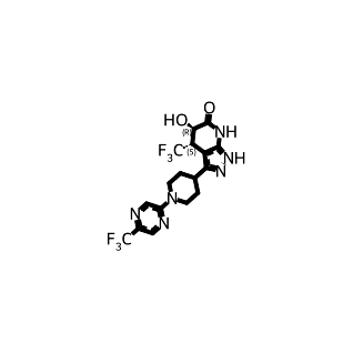 O=C1Nc2[nH]nc(C3CCN(c4cnc(C(F)(F)F)cn4)CC3)c2[C@H](C(F)(F)F)[C@H]1O